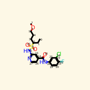 CCC(CCCOC)S(=O)(=O)Nc1cc(C(=O)Nc2ccc(F)c(Cl)c2)ccn1